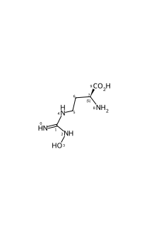 N=C(NO)NCC[C@H](N)C(=O)O